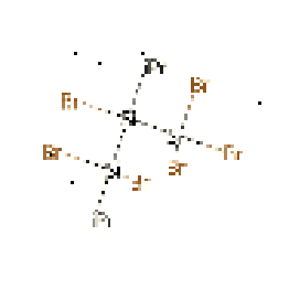 CC(C)[Si](Br)(Br)[Si](Br)(C(C)C)[Si](Br)(Br)Br